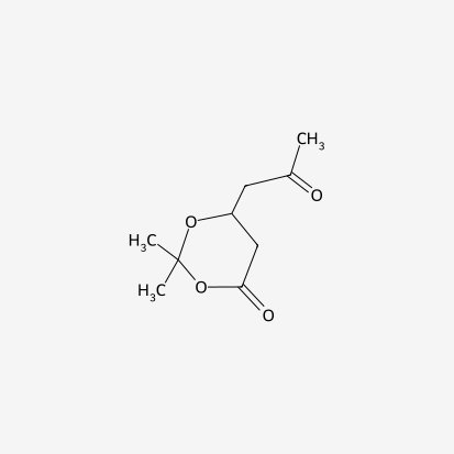 CC(=O)CC1CC(=O)OC(C)(C)O1